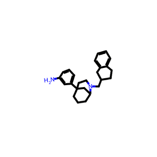 Nc1cccc(C23CCCC(C2)N(CC2CCc4ccccc4C2)CC3)c1